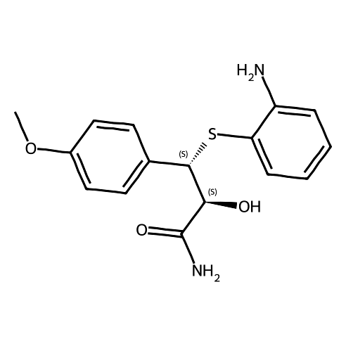 COc1ccc([C@H](Sc2ccccc2N)[C@@H](O)C(N)=O)cc1